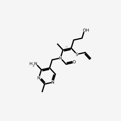 C=CS/C(CCO)=C(/C)N(C=O)Cc1cnc(C)nc1N